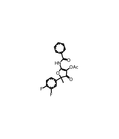 CC(=O)OC1=C(NC(=O)c2ccccc2)OC(C)(c2ccc(F)c(F)c2)C1=O